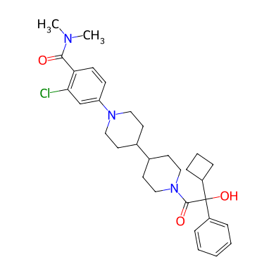 CN(C)C(=O)c1ccc(N2CCC(C3CCN(C(=O)C(O)(c4ccccc4)C4CCC4)CC3)CC2)cc1Cl